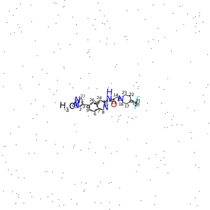 Cn1cc(-c2ccc3cnc(NC(=O)CN4CCC(C(F)F)CC4)cc3c2)cn1